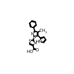 Cc1c(-c2ccccc2)nn(-c2nc(C(=O)O)cs2)c1-c1ccc[nH]1